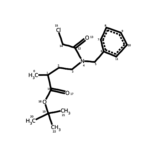 CC(CCN(Cc1ccccc1)C(=O)CCl)C(=O)OC(C)(C)C